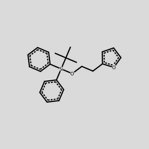 CC(C)(C)[Si](OCCc1ccco1)(c1ccccc1)c1ccccc1